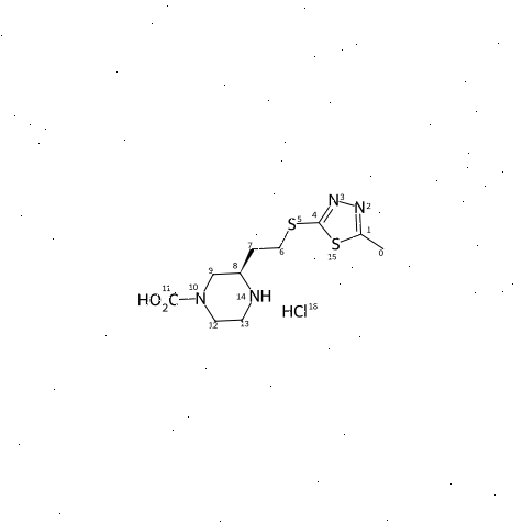 Cc1nnc(SCC[C@@H]2CN(C(=O)O)CCN2)s1.Cl